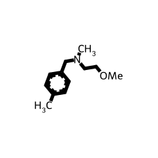 COCCN(C)Cc1ccc(C)cc1